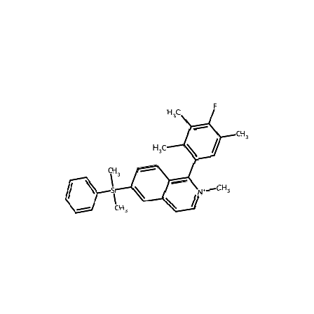 Cc1cc(-c2c3ccc([Si](C)(C)c4ccccc4)cc3cc[n+]2C)c(C)c(C)c1F